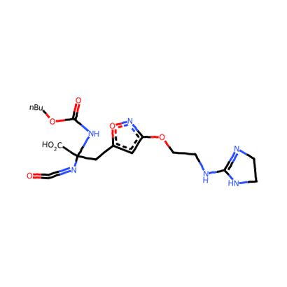 CCCCOC(=O)NC(Cc1cc(OCCNC2=NCCN2)no1)(N=C=O)C(=O)O